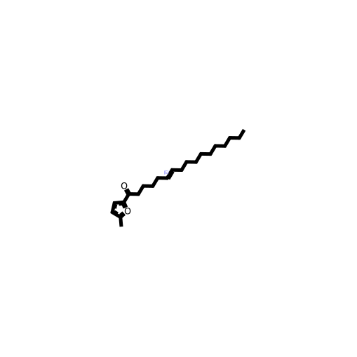 CCCCCCCCCC/C=C/CCCCC(=O)c1ccc(C)o1